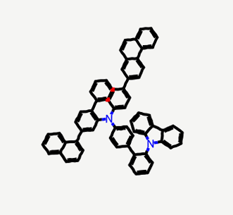 c1ccc(-c2ccc(-c3cccc4ccccc34)cc2N(c2ccc(-c3ccc4c(ccc5ccccc54)c3)cc2)c2ccc(-c3ccccc3-n3c4ccccc4c4ccccc43)cc2)cc1